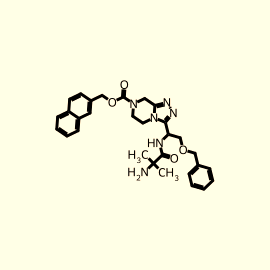 CC(C)(N)C(=O)NC(COCc1ccccc1)c1nnc2n1CCN(C(=O)OCc1ccc3ccccc3c1)C2